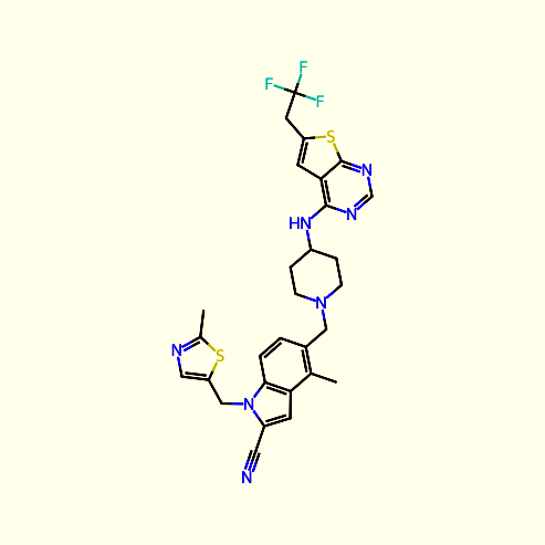 Cc1ncc(Cn2c(C#N)cc3c(C)c(CN4CCC(Nc5ncnc6sc(CC(F)(F)F)cc56)CC4)ccc32)s1